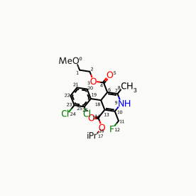 COCCOC(=O)C1=C(C)NC(CF)=C(C(=O)OC(C)C)C1c1cccc(Cl)c1Cl